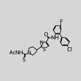 CC(=O)NC(=S)N1CCC(c2nc(C(=O)Nc3ccc(F)cc3-c3ccc(Cl)cc3)cs2)CC1